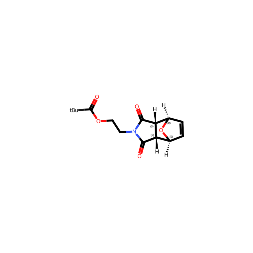 CC(C)(C)C(=O)OCCN1C(=O)[C@@H]2[C@H](C1=O)[C@H]1C=C[C@@H]2O1